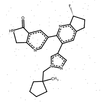 CC1(Cn2cc(-c3cc4c(nc3-c3cnc5c(c3)C(=O)NC5)[C@H](F)CC4)cn2)CCCC1